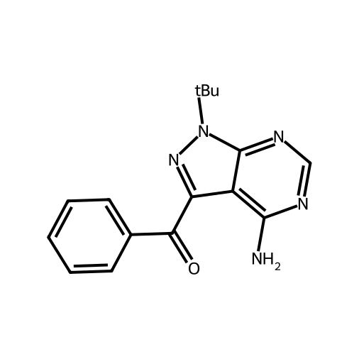 CC(C)(C)n1nc(C(=O)c2ccccc2)c2c(N)ncnc21